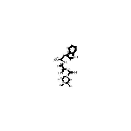 CCCCC(Cc1c[nH]c2ccccc12)NC(=O)C(=N)SC(=N)N1C[C@@H](C)N(C)[C@H](C)C1